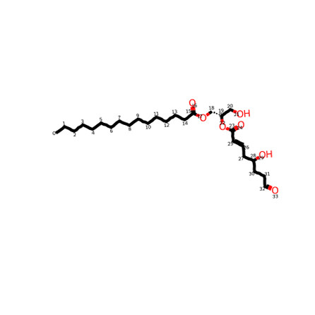 CCCCCCCCCCCCCCCC(=O)OC[C@H](CO)OC(=O)C=CCC(O)CCC=O